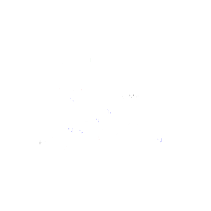 COCC(C)Nc1cc(OCCN(C)C)ccc1C(=O)Nc1nn(C(=O)OC(C)C)c2c1CN(S(=O)(=O)c1cc(F)cc(F)c1)CC2